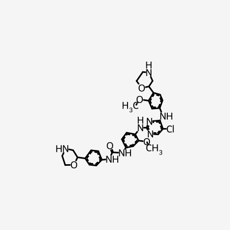 COc1cc(NC(=O)Nc2ccc(C3CNCCO3)cc2)ccc1Nc1ncc(Cl)c(Nc2ccc(C3CNCCO3)c(OC)c2)n1